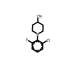 N#CC1CCN(c2c(F)cccc2Cl)CC1